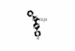 CCOC(=O)c1sc(N2CCCCC2)nc1-c1cnc(N2CCNCC2)cn1